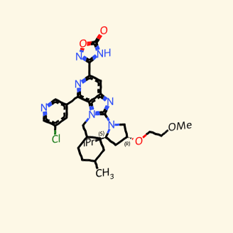 COCCO[C@@H]1C[C@@H](C(C)C)N(c2nc3cc(-c4noc(=O)[nH]4)nc(-c4cncc(Cl)c4)c3n2CC2CCC(C)CC2)C1